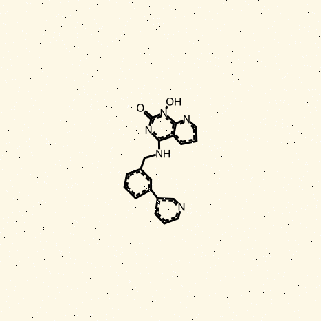 O=c1nc(NCc2cccc(-c3cccnc3)c2)c2cccnc2n1O